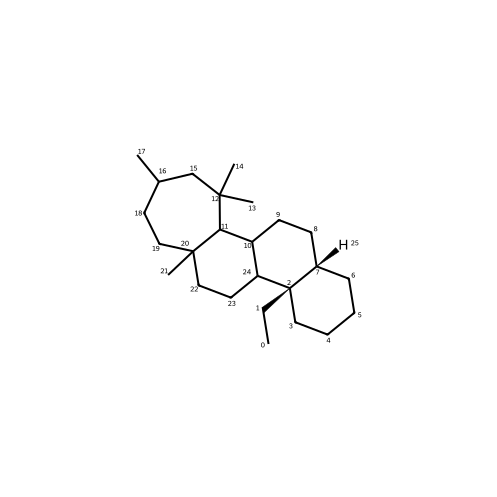 CC[C@]12CCCC[C@H]1CCC1C3C(C)(C)CC(C)CCC3(C)CCC12